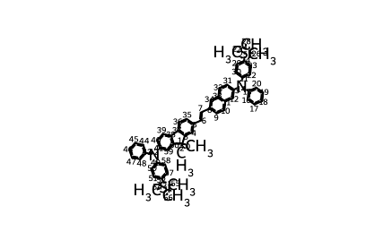 CC1(C)c2cc(/C=C/c3ccc4cc(N(c5ccccc5)c5ccc([Si](C)(C)C)cc5)ccc4c3)ccc2-c2ccc(N(c3ccccc3)c3ccc([Si](C)(C)C)cc3)cc21